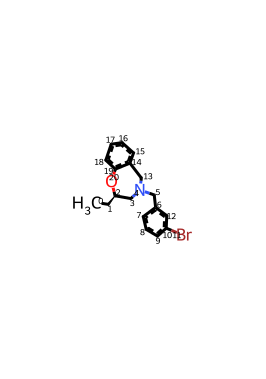 CC[C@@H]1CN(Cc2cccc(Br)c2)Cc2ccccc2O1